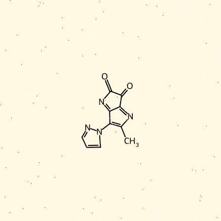 Cc1nc2c(=O)c(=O)nc-2c1-n1cccn1